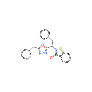 O=c1c2ccccc2sn1C(Cc1ccccc1)c1nnc(Cc2ccccc2)o1